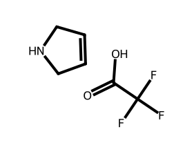 C1=CCNC1.O=C(O)C(F)(F)F